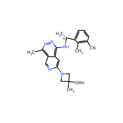 COC1(C)CN(c2cc3c(N[C@H](C)c4cccc(C#N)c4C)nnc(C)c3cn2)C1